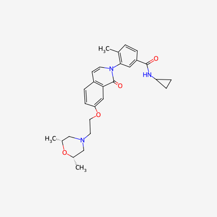 Cc1ccc(C(=O)NC2CC2)cc1-n1ccc2ccc(OCCN3C[C@@H](C)O[C@@H](C)C3)cc2c1=O